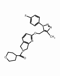 Cc1nnn(-c2ccc(F)cc2)c1COc1ccc2c(n1)CN(C(=O)C1CCOCC1)C2